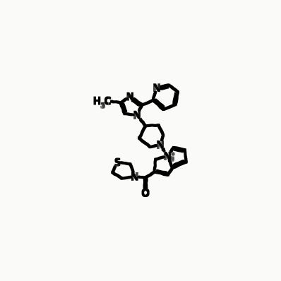 Cc1cn(C2CCN([N@@+]34C=CC=C3C=C(C(=O)N3CCSC3)C4)CC2)c(-c2ccccn2)n1